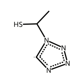 CC(S)n1[c]nnn1